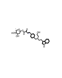 C[C@@H]1O[C@@H](ONC(=O)/C=C/c2ccc(CN(CCO)CCc3c[nH]c4ccccc34)cc2)C[C@H](O)[C@H]1O